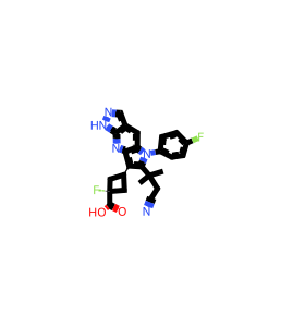 CC(C)(CC#N)c1c([C@H]2C[C@](F)(C(=O)O)C2)c2nc3[nH]ncc3cc2n1-c1ccc(F)cc1